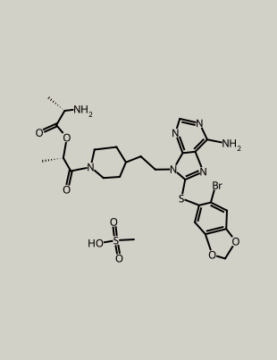 CS(=O)(=O)O.C[C@H](N)C(=O)O[C@@H](C)C(=O)N1CCC(CCn2c(Sc3cc4c(cc3Br)OCO4)nc3c(N)ncnc32)CC1